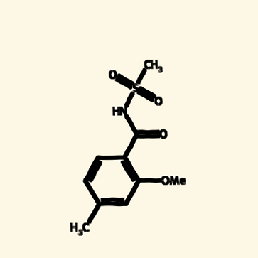 COc1cc(C)ccc1C(=O)NS(C)(=O)=O